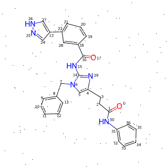 O=C(CCc1cn(Cc2ccccc2)c(NC(=O)c2cccc(-c3cn[nH]c3)c2)n1)Nc1ccccc1